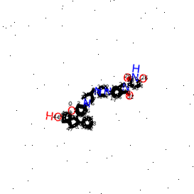 COc1cc(N2CCC(CN3CCN(c4ccc5c(c4)CN([C@H]4CCC(=O)NC4=O)C5=O)CC3)CC2)ccc1[C@@H]1c2ccc(O)cc2CC[C@@H]1c1ccccc1